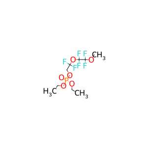 CCOP(=O)(OCC)OCC(F)(F)OC(F)(F)C(F)(F)OC